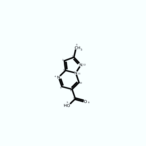 Cc1cc2ncc(C(=O)O)cn2n1